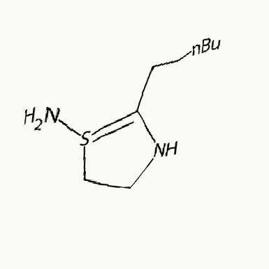 CCCCCC1=S(N)CCN1